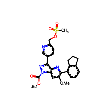 COc1cc2c(nc1-c1cccc3c1CCC3)c(-c1ccc(COS(C)(=O)=O)nc1)nn2C(=O)OC(C)(C)C